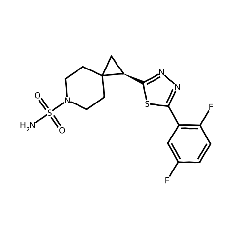 NS(=O)(=O)N1CCC2(CC1)C[C@H]2c1nnc(-c2cc(F)ccc2F)s1